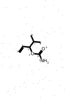 C=CC(OC(N)=O)C(C)C